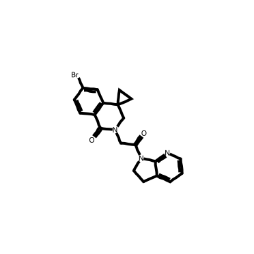 O=C1c2ccc(Br)cc2C2(CC2)CN1CC(=O)N1CCc2cccnc21